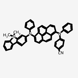 C[Si]1(C)c2ccccc2-c2ccc(N(c3ccccc3)c3ccc4ccc5c(N(c6ccccc6)c6ccc(C#N)cc6)ccc6ccc3c4c65)cc21